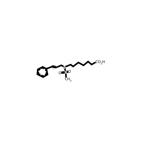 CS(=O)(=O)N(C/C=C/c1ccccc1)CCCCCCC(=O)O